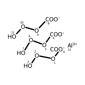 O=C([O-])OOO.O=C([O-])OOO.O=C([O-])OOO.[Al+3]